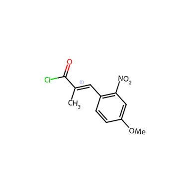 COc1ccc(/C=C(\C)C(=O)Cl)c([N+](=O)[O-])c1